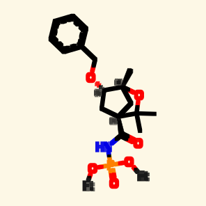 CCOP(=O)(NC(=O)[C@@]12C[C@H](OCc3ccccc3)[C@@](C)(C1)OC2(C)C)OCC